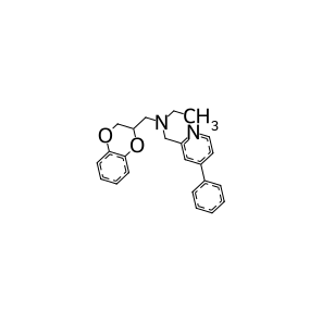 CCN(Cc1cc(-c2ccccc2)ccn1)CC1COc2ccccc2O1